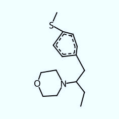 CCC(Cc1ccc(SC)cc1)N1CCOCC1